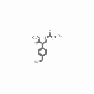 COC(=O)C(CNC(=O)OC(C)(C)C)c1ccc(CO)cc1